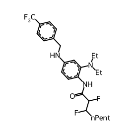 CCCCCC(F)C(F)C(=O)Nc1ccc(NCc2ccc(C(F)(F)F)cc2)cc1N(CC)CC